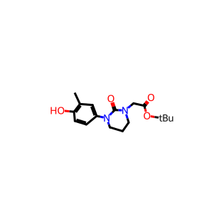 Cc1cc(N2CCCN(CC(=O)OC(C)(C)C)C2=O)ccc1O